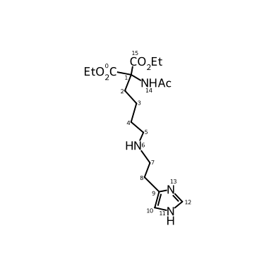 CCOC(=O)C(CCCCNCCc1c[nH]cn1)(NC(C)=O)C(=O)OCC